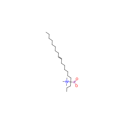 CCCCCCCCC=CCCCCCCC(CCC)(P(=O)=O)[N+](C)(C)C